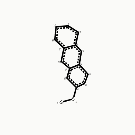 [S]Sc1ccc2cc3ccccc3cc2c1